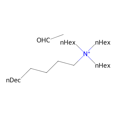 CC=O.CCCCCCCCCCCCCC[N+](CCCCCC)(CCCCCC)CCCCCC